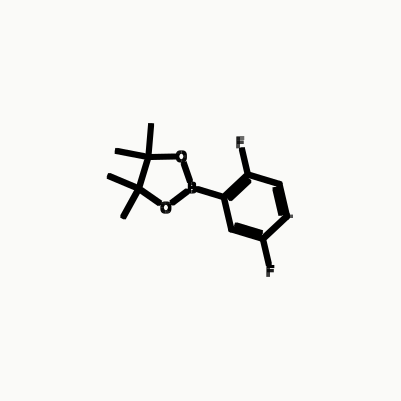 CC1(C)OB(c2cc(F)[c]cc2F)OC1(C)C